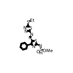 CCSc1nnc(/N=N/c2sc(N=[SH](=O)OC)nc2-c2ccccc2)s1